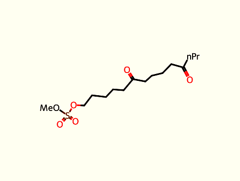 CCCC(=O)CCCCC(=O)CCCCCOS(=O)(=O)OC